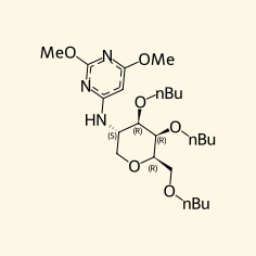 CCCCOC[C@H]1OC[C@H](Nc2cc(OC)nc(OC)n2)[C@@H](OCCCC)[C@H]1OCCCC